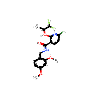 COc1ccc(CNC(=O)c2ccc(Cl)nc2OC(C)C(F)F)c(OC)c1